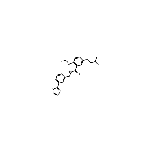 CCOc1ccc(NCC(C)C)cc1C(=O)NCc1cccc(-c2nccs2)c1